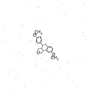 COc1ccc(C2Cc3ccc(OC)cc3C3COCC23)cc1